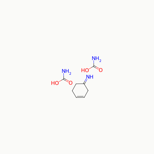 N=C1CC=CCC1.NC(=O)O.NC(=O)O